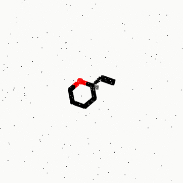 C=C[C@@H]1CCCCO1